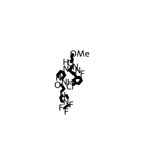 COCCOc1nnc(-c2cc(Cl)ccc2F)cc1Nc1ccnc(NC(=O)CCN2CCN(C(F)C(F)F)CC2)c1